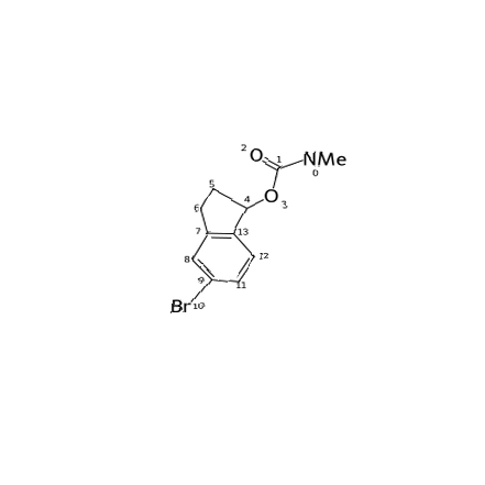 CNC(=O)OC1CCc2cc(Br)ccc21